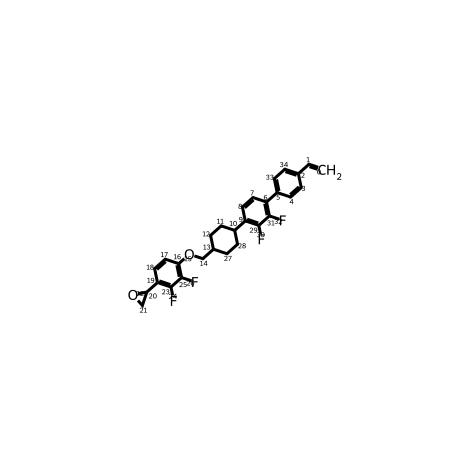 C=Cc1ccc(-c2ccc(C3CCC(COc4ccc(C5CO5)c(F)c4F)CC3)c(F)c2F)cc1